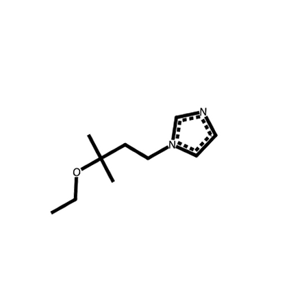 CCOC(C)(C)CCn1ccnc1